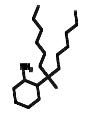 CCCCCCC(C)(CCCCCC)C1CCCCC1N